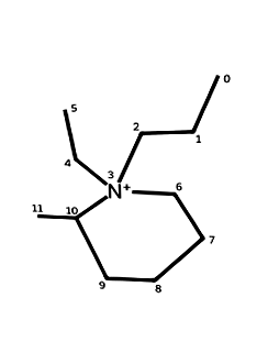 CCC[N+]1(CC)CCCCC1C